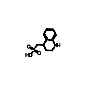 O=S(=O)(O)CC1CCNc2ccccc21